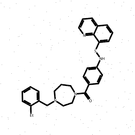 CCc1ccccc1CN1CCCN(C(=O)c2ccc(NSc3cccc4cccnc34)cc2)CC1